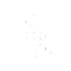 CC1=CCC(C(=O)Oc2c3cccc(C)c3c(OC(=O)C3CC=C(C)CC3C(=O)O)c3cccc(C)c23)C(C(=O)O)C1